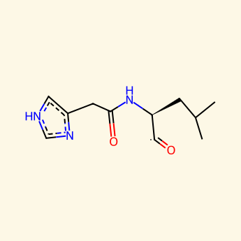 CC(C)C[C@@H]([C]=O)NC(=O)Cc1c[nH]cn1